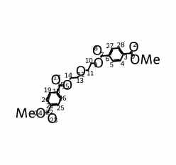 COC(=O)c1ccc(C(=O)OCCOCCOC(=O)c2ccc(C(=O)OC)cc2)cc1